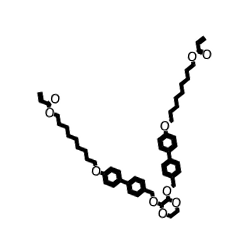 C=CC(=O)OCCCCCCCCCOc1ccc(-c2ccc(COC3OCCOC3OCc3ccc(-c4ccc(OCCCCCCCCCOC(=O)C=C)cc4)cc3)cc2)cc1